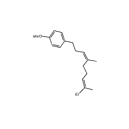 CCC(C)=CCCC(C)=CCCc1ccc(OC)cc1